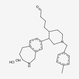 Cc1ccc(CN2CCC(CCCC=O)C(c3ccc4c(c3)CNCCC4)C2)cc1.Cl.Cl